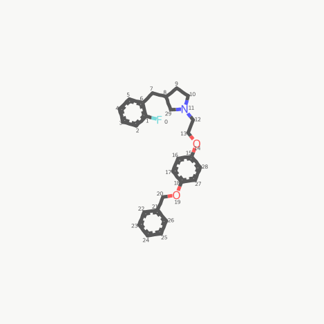 Fc1ccccc1CC1CCN(CCOc2ccc(OCc3ccccc3)cc2)C1